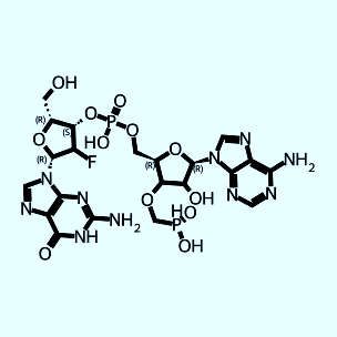 Nc1nc2c(ncn2[C@@H]2O[C@H](CO)[C@H](OP(=O)(O)OC[C@H]3O[C@@H](n4cnc5c(N)ncnc54)C(O)C3OC[PH](=O)O)C2F)c(=O)[nH]1